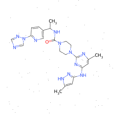 Cc1cc(Nc2cc(C)[nH]n2)nc(N2CCN(C(=O)NC(C)c3ccc(-n4cncn4)nc3)CC2)n1